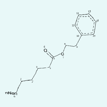 CCCCCCCCCCCCCC(=O)OCCc1ccccc1